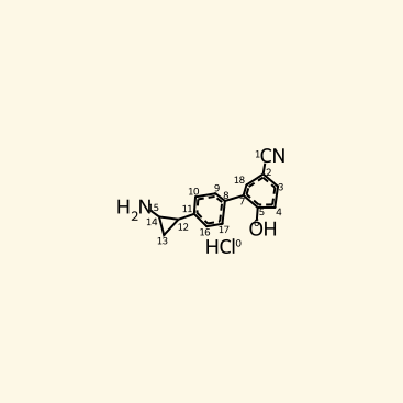 Cl.N#Cc1ccc(O)c(-c2ccc(C3CC3N)cc2)c1